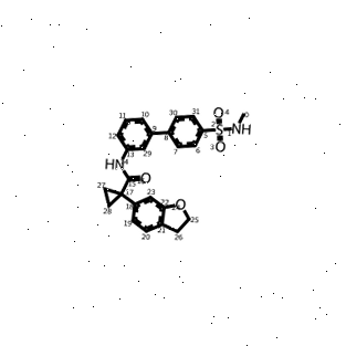 CNS(=O)(=O)c1ccc(-c2cccc(NC(=O)C3(c4ccc5c(c4)OCC5)CC3)c2)cc1